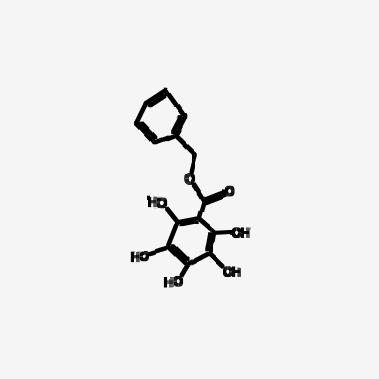 O=C(OCc1ccccc1)c1c(O)c(O)c(O)c(O)c1O